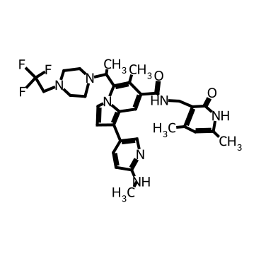 CNc1ccc(-c2ccn3c(C(C)N4CCN(CC(F)(F)F)CC4)c(C)c(C(=O)NCc4c(C)cc(C)[nH]c4=O)cc23)cn1